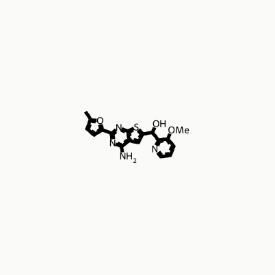 COc1cccnc1C(O)c1cc2c(N)nc(-c3ccc(C)o3)nc2s1